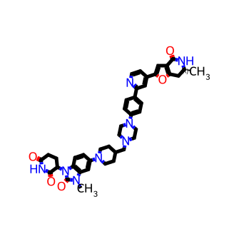 C[C@@H]1Cc2oc(-c3ccnc(-c4ccc(N5CCN(CC6CCN(c7ccc8c(c7)n(C)c(=O)n8C7CCC(=O)NC7=O)CC6)CC5)cc4)c3)cc2C(=O)N1